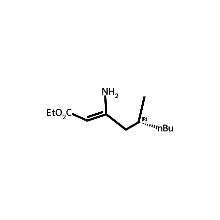 CCCC[C@@H](C)CC(N)=CC(=O)OCC